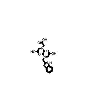 O=C(O)CN(CCN(CC(=O)O)Cc1nc2ccccc2[nH]1)CC(=O)O